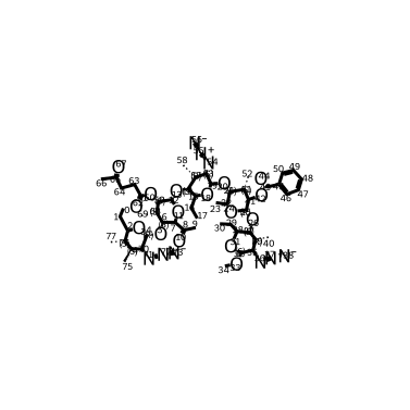 CCC1O[C@H](O[C@@H]2C(C(C)=O)OC(O[C@@H]3C(CC)OC(O[C@@H]4C(C)O[C@H](O[C@@H]5C(CC)O[C@H](OC)C(N=[N+]=[N-])[C@H]5C)C(OC(=O)c5ccccc5)[C@H]4C)[C@@H](N=[N+]=[N-])[C@H]3C)[C@@H](OC(=O)CCC(C)=O)[C@H]2C)C(N=[N+]=[N-])[C@@H](C)[C@@H]1C